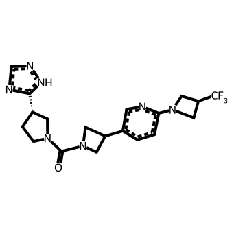 O=C(N1CC(c2ccc(N3CC(C(F)(F)F)C3)nc2)C1)N1CC[C@H](c2ncn[nH]2)C1